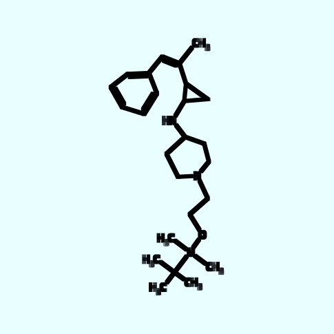 CC(=Cc1ccccc1)C1CC1NC1CCN(CCO[Si](C)(C)C(C)(C)C)CC1